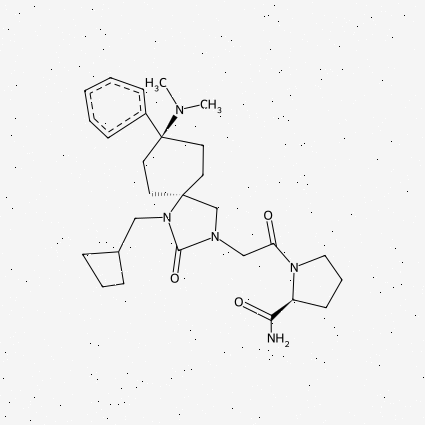 CN(C)[C@]1(c2ccccc2)CC[C@]2(CC1)CN(CC(=O)N1CCC[C@H]1C(N)=O)C(=O)N2CC1CCC1